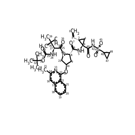 C=C[C@@H]1C[C@]1(NC(=O)[C@@H]1C[C@@H](Oc2nc(C)cc3ccccc23)CN1C(=O)[C@@H](NC(=O)OC(C)(C)C)C(C)(C)C)C(=O)NS(=O)(=O)C1CC1